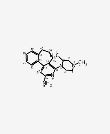 CC1CN(C)CCN1c1nc(N)nc2c1CCCc1ccccc1-2